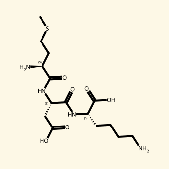 CSCC[C@H](N)C(=O)N[C@@H](CC(=O)O)C(=O)N[C@@H](CCCCN)C(=O)O